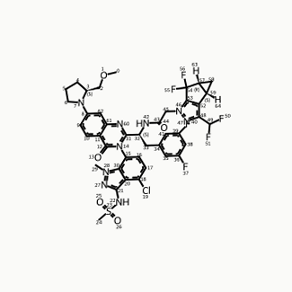 COC[C@@H]1CCCN1c1ccc2c(=O)n(-c3ccc(Cl)c4c(NS(C)(=O)=O)nn(C)c34)c([C@H](Cc3cc(F)cc(F)c3)NC(=O)Cn3nc(C(F)F)c4c3C(F)(F)[C@@H]3C[C@H]43)nc2c1